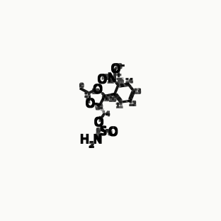 CC1O[C@@H](COS(N)=O)[C@H](c2ccccc2[N+](=O)[O-])O1